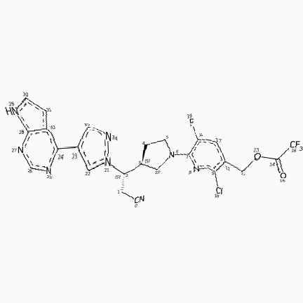 N#CC[C@@H]([C@H]1CCN(c2nc(Cl)c(COC(=O)C(F)(F)F)cc2F)C1)n1cc(-c2ncnc3[nH]ccc23)cn1